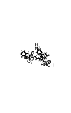 COC(=O)N[C@@H](Cc1ccccc1Cl)C(=O)NCCCCC(COP(=O)(O)O)N(CC(C)C)S(=O)(=O)c1ccc(N)cc1